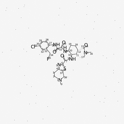 CN1CCc2nc(C(=O)N[C@@H]3C[C@@H](C(=O)N(C)C)CC[C@@H]3NC(=O)C(=O)Nc3ccc(Cl)cc3CF)sc2C1